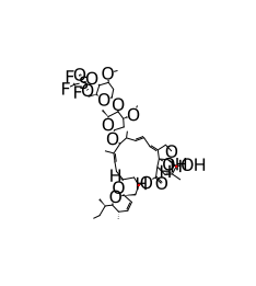 CC[C@@H](C)[C@H]1O[C@]2(C=C[C@@H]1C)C[C@@H]1C[C@@H](C/C=C(\C)[C@@H](O[C@H]3C[C@H](OC)[C@@H](O[C@H]4C[C@H](OC)[C@@H](OS(=O)(=O)C(F)(F)F)[C@H](C)O4)[C@H](C)O3)C(C)/C=C/C=C3\CO[C@@H]4[C@H](O)C(C)=C[C@@H](C(=O)O1)[C@]34O)O2